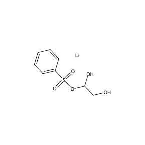 O=S(=O)(OC(O)CO)c1ccccc1.[Li]